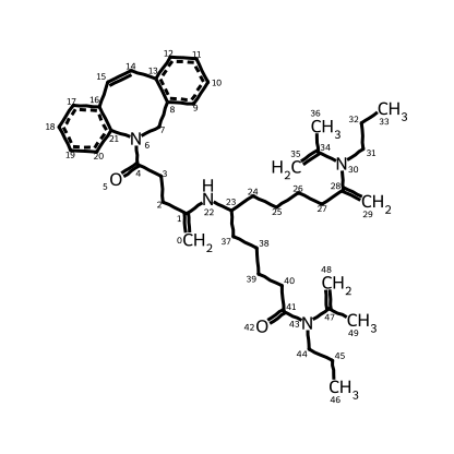 C=C(CCC(=O)N1Cc2ccccc2/C=C\c2ccccc21)NC(CCCCC(=C)N(CCC)C(=C)C)CCCCC(=O)N(CCC)C(=C)C